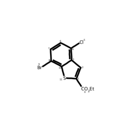 CCOC(=O)c1cc2c(Cl)ccc(Br)c2s1